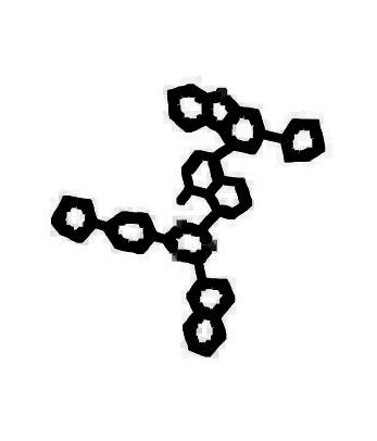 CC1C=CC(c2cc(-c3ccccc3)cc3oc4ccccc4c23)=C2C=CC=C(c3nc(-c4ccc(-c5ccccc5)cc4)nc(-c4ccc5ccccc5c4)n3)C21